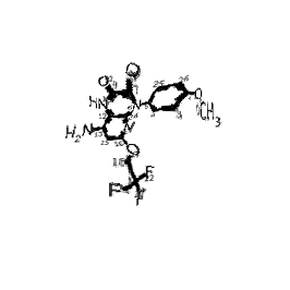 COc1ccc(-n2c(=O)c(=O)[nH]c3c(N)cc(OCC(F)(F)F)nc32)cc1